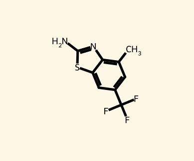 Cc1cc(C(F)(F)F)cc2sc(N)nc12